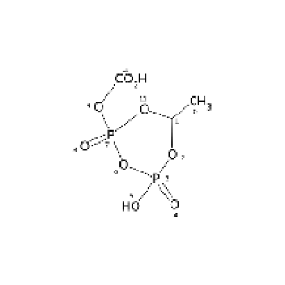 CC1OP(=O)(O)OP(=O)(OC(=O)O)O1